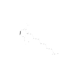 CCCCCCCCCCCCCCCCCC1N(CCC)C=CN1CCCCC